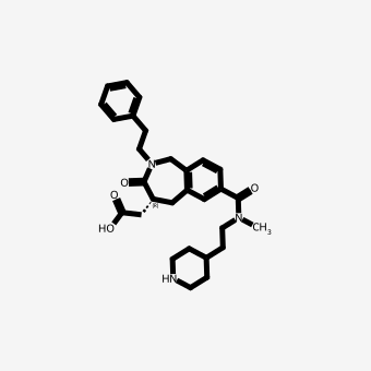 CN(CCC1CCNCC1)C(=O)c1ccc2c(c1)C[C@H](CC(=O)O)C(=O)N(CCc1ccccc1)C2